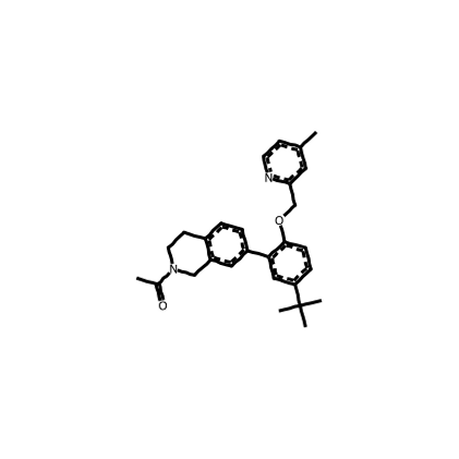 CC(=O)N1CCc2ccc(-c3cc(C(C)(C)C)ccc3OCc3cc(C)ccn3)cc2C1